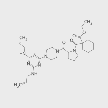 C=CCNc1nc(NCC=C)nc(N2CCN(C(=O)C3CCCN3C(=O)C3(C(=O)OCC)CCCCC3)CC2)n1